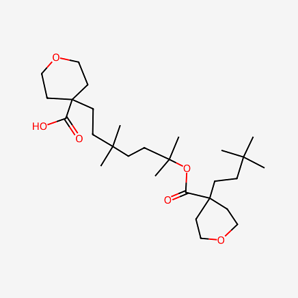 CC(C)(C)CCC1(C(=O)OC(C)(C)CCC(C)(C)CCC2(C(=O)O)CCOCC2)CCOCC1